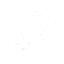 CP(=O)(S)OP(=O)(S)OP(=O)(O)OP(=O)(O)OP(=O)(S)OCC1OC2(B=B2)C(O)C1O